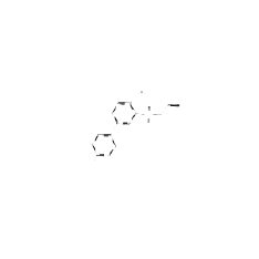 C=CCS(=O)(=O)c1cc(-c2ccc(O)cc2)ccc1O